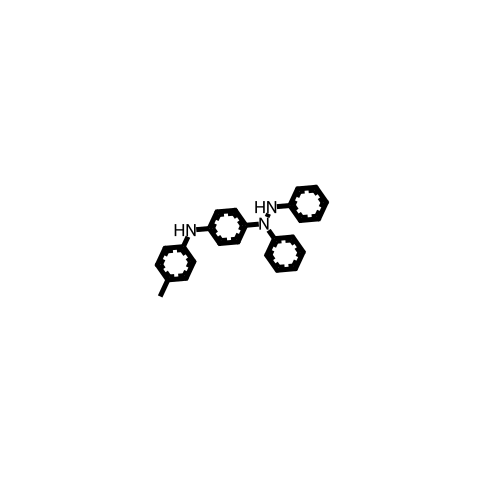 Cc1ccc(Nc2ccc(N(Nc3ccccc3)c3ccccc3)cc2)cc1